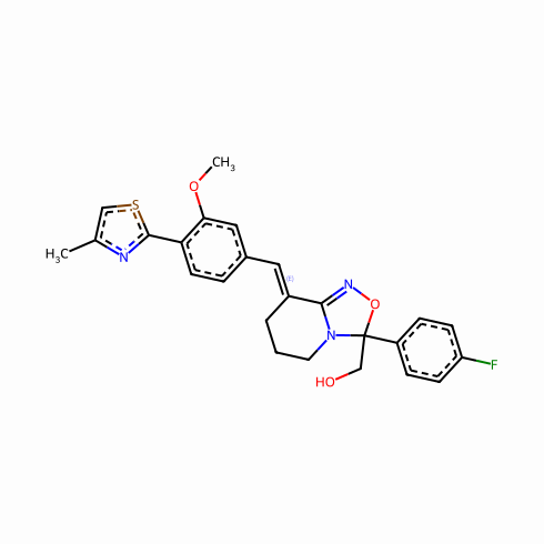 COc1cc(/C=C2\CCCN3C2=NOC3(CO)c2ccc(F)cc2)ccc1-c1nc(C)cs1